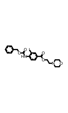 O=C(Nc1ccc(C(=O)OCCN2CCOCC2)cc1I)OCc1ccccc1